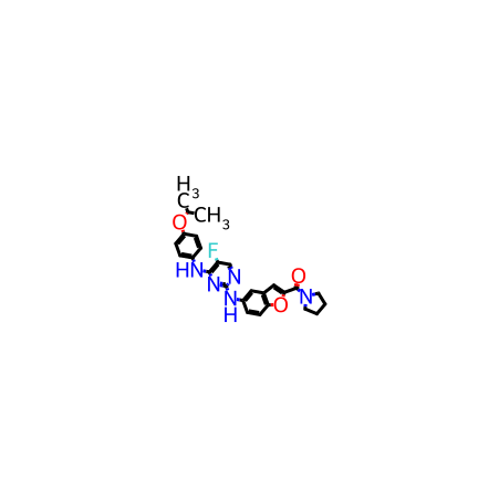 CC(C)Oc1ccc(Nc2nc(Nc3ccc4oc(C(=O)N5CCCC5)cc4c3)ncc2F)cc1